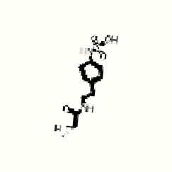 CCC(=O)NCCc1ccc(NS(=O)(=O)O)cc1